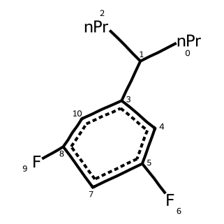 CCCC(CCC)c1cc(F)cc(F)c1